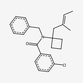 C/C=C(\C)CC1(N(Cc2ccccc2)C(=O)c2cccc(Cl)c2)CCC1